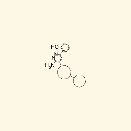 Nc1nnc(-c2ccccc2O)cc1C1CCCCCC(C2CCCCCCCC2)CCC1